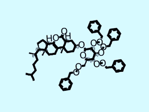 CC(C)CCC[C@@H](C)[C@H]1CC[C@H]2C3=C(CC[C@]12C)[C@@]1(C)CC[C@H](OC2O[C@H](COOCc4ccccc4)[C@@H](OOCc4ccccc4)[C@H](OOCc4ccccc4)[C@H]2OOCc2ccccc2)C[C@@H]1C(=O)O3